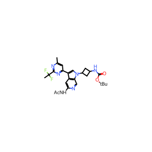 CC(=O)Nc1cc2c(-c3cc(C)nc(C(C)(F)F)n3)cn(C3CC(NC(=O)OC(C)(C)C)C3)c2cn1